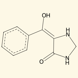 O=C1NCNC1=C(O)c1ccccc1